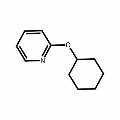 [c]1cccc(OC2CCCCC2)n1